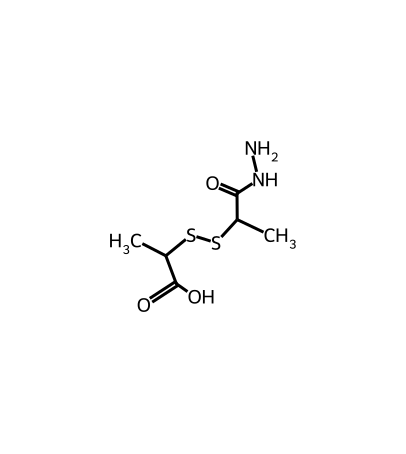 CC(SSC(C)C(=O)NN)C(=O)O